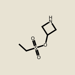 CCS(=O)(=O)OC1CNC1